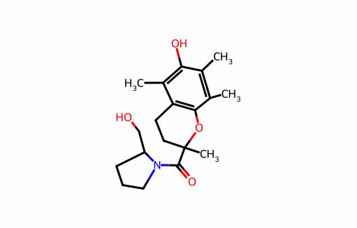 Cc1c(C)c2c(c(C)c1O)CCC(C)(C(=O)N1CCCC1CO)O2